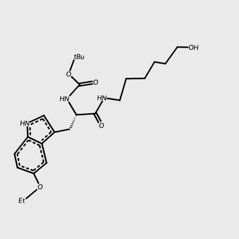 CCOc1ccc2[nH]cc(C[C@H](NC(=O)OC(C)(C)C)C(=O)NCCCCCCO)c2c1